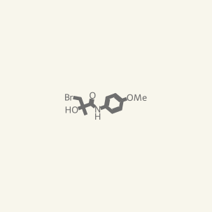 COc1ccc(NC(=O)C(C)(O)CBr)cc1